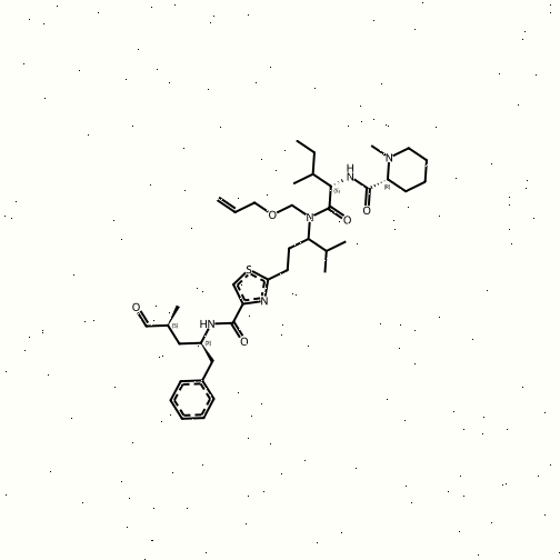 C=CCOCN(C(=O)[C@@H](NC(=O)[C@H]1CCCCN1C)C(C)CC)C(CCc1nc(C(=O)N[C@@H](Cc2ccccc2)C[C@H](C)C=O)cs1)C(C)C